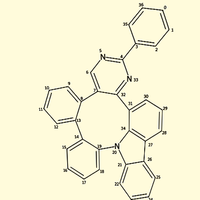 c1ccc(-c2ncc3c4ccccc4c4ccccc4n4c5ccccc5c5cccc(c3n2)c54)cc1